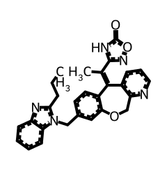 CCCc1nc2ccccc2n1Cc1ccc2c(c1)OCc1ncccc1C2=C(C)c1noc(=O)[nH]1